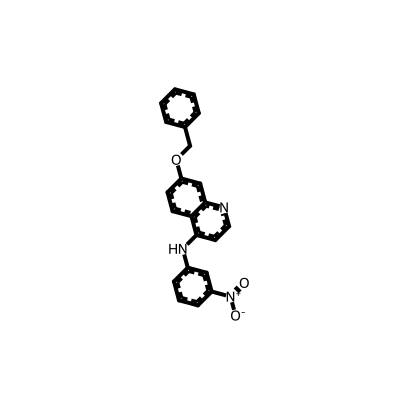 O=[N+]([O-])c1cccc(Nc2ccnc3cc(OCc4ccccc4)ccc23)c1